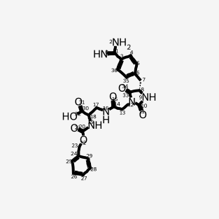 N=C(N)c1ccc(C[C@@H]2NC(=O)N(CC(=O)NCC(NC(=O)OCc3ccccc3)C(=O)O)C2=O)cc1